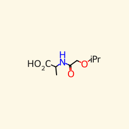 CC(C)OCC(=O)NC(C)C(=O)O